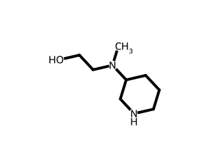 CN(CCO)C1CCCNC1